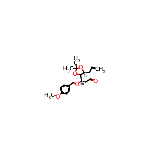 C=CC[C@@H]1OC(C)(C)OC1[C@@H](CC=O)OCc1ccc(OC)cc1